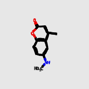 Cc1cc(=O)oc2ccc(NC(=O)O)cc12